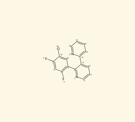 Fc1cc(F)c(-c2ncccc2-c2ccccn2)cc1Cl